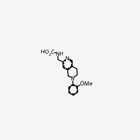 COc1ccccc1N1CCc2cnc(CNC(=O)O)cc2C1